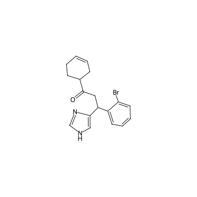 O=C(CC(c1c[nH]cn1)c1ccccc1Br)C1CC=CCC1